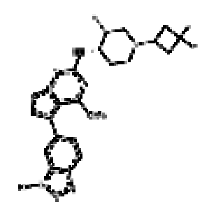 CCn1nnc2ccc(-c3ccn4nc(N[C@H]5CCN(C6CC(F)(F)C6)C[C@H]5F)nc(OC)c34)cc21